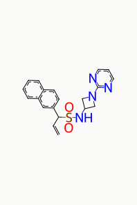 C=CC(c1ccc2ccccc2c1)S(=O)(=O)NC1CN(c2ncccn2)C1